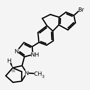 CN1C2CC[C@@H](C2)C1c1ncc(-c2ccc3c(c2)CCc2cc(Br)ccc2-3)[nH]1